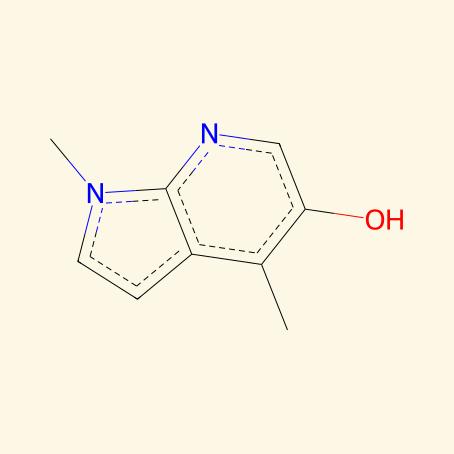 Cc1c(O)cnc2c1ccn2C